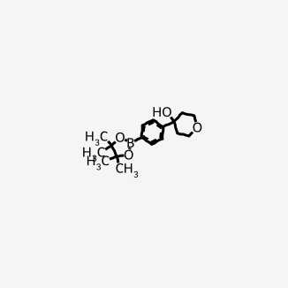 CC1(C)OB(c2ccc(C3(O)CCOCC3)cc2)OC1(C)C